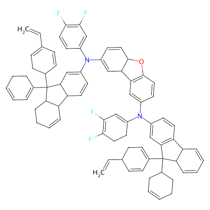 C=CC1=CCC(C2(C3=CC=CCC3)C3C=C(N(C4=CC5c6cc(N(C7=CC(F)=C(F)CC7)c7ccc8c(c7)C(C7=CCC(C=C)C=C7)(C7CC=CCC7)C7C=CC=CC87)ccc6OC5C=C4)c4ccc(F)c(F)c4)C=CC3C3C=CCCC32)C=C1